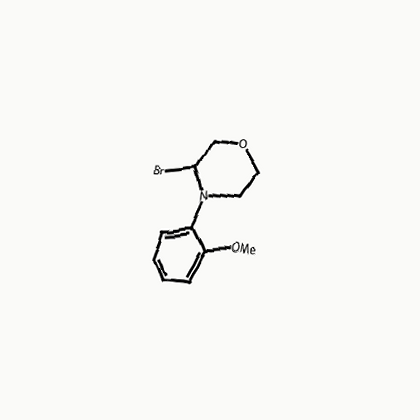 COc1ccccc1N1CCOCC1Br